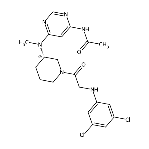 CC(=O)Nc1cc(N(C)[C@H]2CCCN(C(=O)CNc3cc(Cl)cc(Cl)c3)C2)ncn1